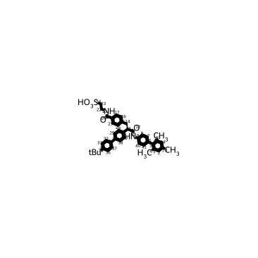 Cc1cc(C)c(-c2ccc(NC(=O)[C@H](Cc3ccc(C(=O)NCCS(=O)(=O)O)cc3)c3ccc(-c4ccc(C(C)(C)C)cc4)cc3)cc2)c(C)c1